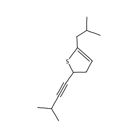 CC(C)C#CC1CC=C(CC(C)C)S1